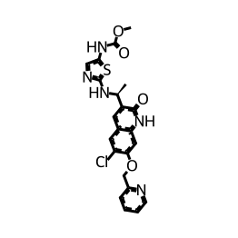 COC(=O)Nc1cnc(N[C@@H](C)c2cc3cc(Cl)c(OCc4ccccn4)cc3[nH]c2=O)s1